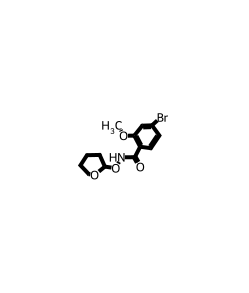 COc1cc(Br)ccc1C(=O)NOC1CCCCO1